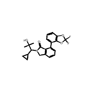 CC(C)(O)C(C1CC1)N1Cc2cccc(-c3cccc4c3OC(F)(F)O4)c2C1=O